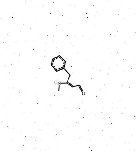 CN/C(=C/C=O)Cc1ccccc1